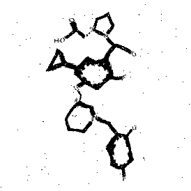 O=C(O)C[C@@H]1CCCN1C(=O)c1cc(C2CC2)c(O[C@@H]2CCCN(Cc3ccc(F)cc3Cl)C2)cc1F